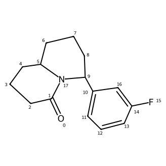 O=C1CCCC2CCCC(c3cccc(F)c3)N12